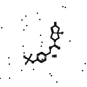 Cl.O=C(OCc1ccc(OC(F)(F)F)cc1)N1CC2=CNCC2(F)C1